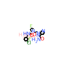 BC(B)(NC(=O)[C@@H]1C[C@@H](F)CN1C(=O)Cn1nc(C(N)=O)c2ccncc21)c1cccc(Cl)c1F